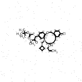 C=CC(O)[C@@H]1CC[C@H]1CN1CCCCc2cc(Cl)ccc2COc2ccc([C@@H](CC(=O)OC(C)(C)C)C(=O)OC)cc21